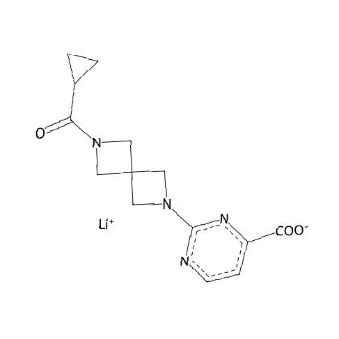 O=C([O-])c1ccnc(N2CC3(CN(C(=O)C4CC4)C3)C2)n1.[Li+]